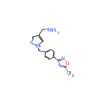 NCc1cnn(Cc2ccc(-c3noc(C(F)(F)F)n3)cc2)c1